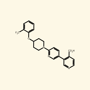 O=C(O)c1ccncc1-c1ccc(N2CCC(Oc3ccccc3C(F)(F)F)CC2)nc1